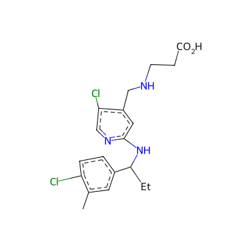 CCC(Nc1cc(CNCCC(=O)O)c(Cl)cn1)c1ccc(Cl)c(C)c1